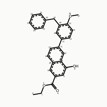 CCOC(=O)c1cc(O)c2cc(-c3ccc(OC)c(Cc4ccccc4)c3)ccc2c1